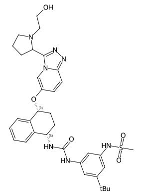 CC(C)(C)c1cc(NC(=O)N[C@H]2CC[C@@H](Oc3ccc4nnc(C5CCCN5CCO)n4c3)c3ccccc32)cc(NS(C)(=O)=O)c1